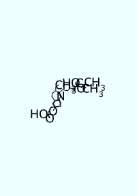 CCC1CCc2cc(OCC(=O)O)ccc2N=C1CCCCC(=O)OC(C)(C)C